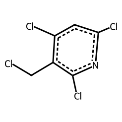 ClCc1c(Cl)cc(Cl)nc1Cl